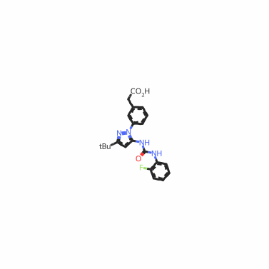 CC(C)(C)c1cc(NC(=O)Nc2ccccc2F)n(-c2cccc(CC(=O)O)c2)n1